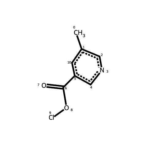 Cc1cncc(C(=O)OCl)c1